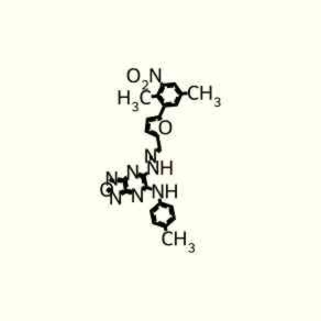 Cc1ccc(Nc2nc3nonc3nc2NN=Cc2ccc(-c3cc(C)cc([N+](=O)[O-])c3C)o2)cc1